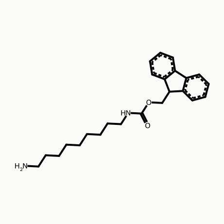 NCCCCCCCCCNC(=O)OCC1c2ccccc2-c2ccccc21